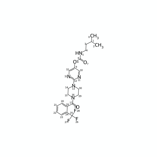 CC(C)CCNC(=O)Oc1cnc(N2CCN(C(=O)c3ccccc3C(F)(F)F)CC2)nc1